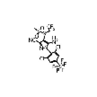 CS(=O)(=O)N(CC(F)(F)F)c1c(C#N)nn(-c2c(Cl)cc(S(F)(F)(F)(F)F)cc2Cl)c1N